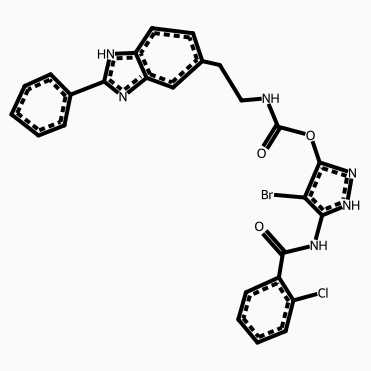 O=C(NCCc1ccc2[nH]c(-c3ccccc3)nc2c1)Oc1n[nH]c(NC(=O)c2ccccc2Cl)c1Br